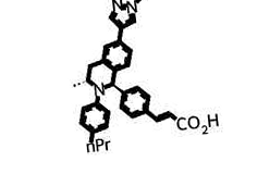 CCCc1ccc(N2[C@H](c3ccc(/C=C/C(=O)O)cc3)c3ccc(-c4cnn(C)c4)cc3C[C@H]2C)cc1